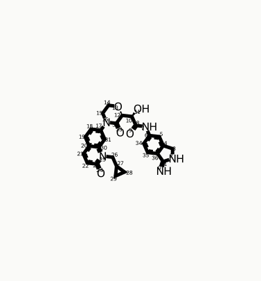 N=C1NCc2cc(NC(=O)[C@H](O)[C@H]3OCCN(c4ccc5ccc(=O)n(CC6CC6)c5c4)C3=O)ccc21